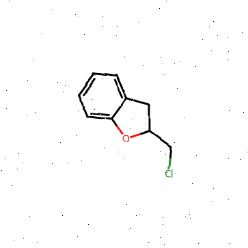 ClCC1Cc2ccccc2O1